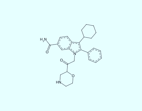 NC(=O)c1ccc2c(C3CCCCC3)c(-c3ccccc3)n(CC(=O)C3CNCCO3)c2c1